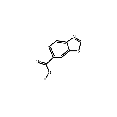 O=C(OF)c1ccc2ncsc2c1